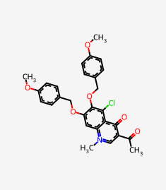 COc1ccc(COc2cc3c(c(Cl)c2OCc2ccc(OC)cc2)c(=O)c(C(C)=O)cn3C)cc1